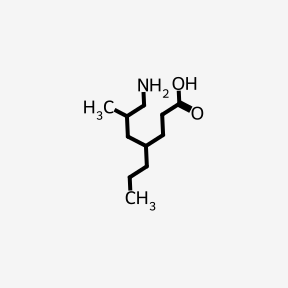 CCCC(CCC(=O)O)CC(C)CN